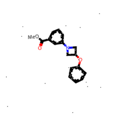 COC(=O)c1cccc(N2CC(Oc3ccccc3)C2)c1